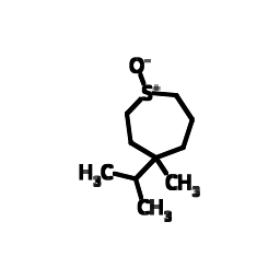 CC(C)C1(C)CCC[S+]([O-])CC1